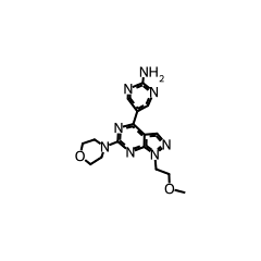 COCCn1ncc2c(-c3cnc(N)nc3)nc(N3CCOCC3)nc21